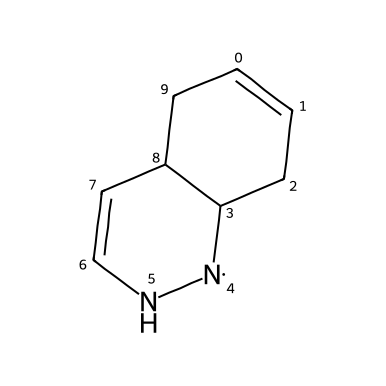 C1=CCC2[N]NC=CC2C1